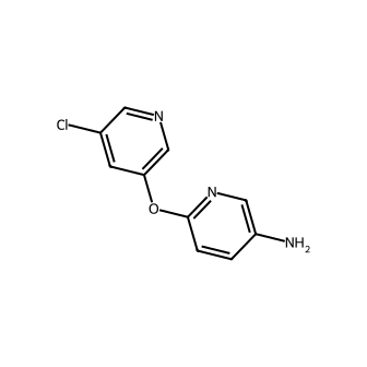 Nc1ccc(Oc2cncc(Cl)c2)nc1